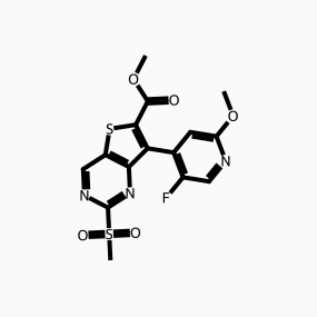 COC(=O)c1sc2cnc(S(C)(=O)=O)nc2c1-c1cc(OC)ncc1F